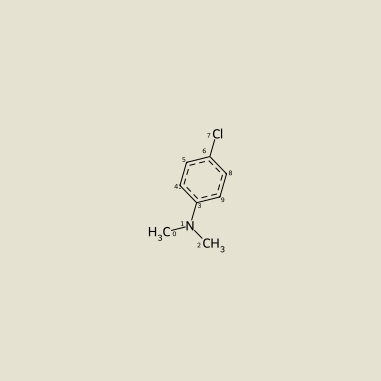 CN(C)c1[c]cc(Cl)cc1